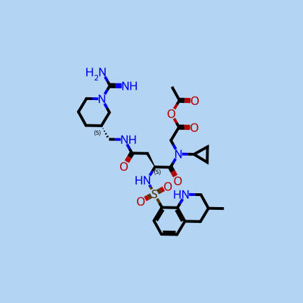 CC(=O)OC(=O)CN(C(=O)[C@H](CC(=O)NC[C@@H]1CCCN(C(=N)N)C1)NS(=O)(=O)c1cccc2c1NCC(C)C2)C1CC1